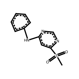 CS(=O)(=O)c1cc(Nc2ccccc2)ncn1